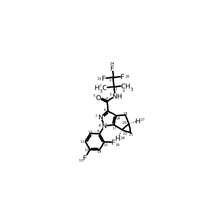 CC(C)(NC(=O)c1nn(-c2ccc(F)cc2F)c2c1C[C@H]1C[C@@H]21)C(F)(F)F